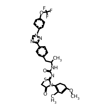 COC1=CC(C)=C(N2C(=O)CS/C2=N\C(=O)NC(C)Cc2ccc(-c3ncn(-c4ccc(OC(F)(F)F)cc4)n3)cc2)CC1